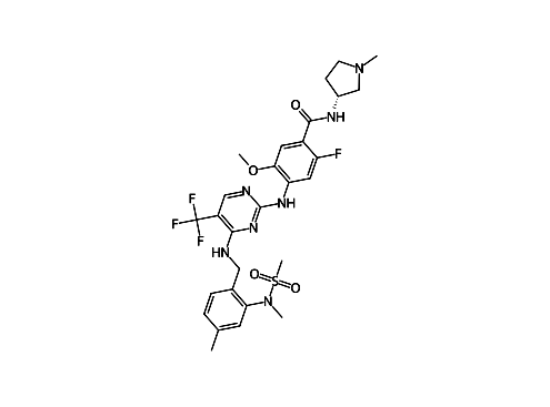 COc1cc(C(=O)N[C@@H]2CCN(C)C2)c(F)cc1Nc1ncc(C(F)(F)F)c(NCc2ccc(C)cc2N(C)S(C)(=O)=O)n1